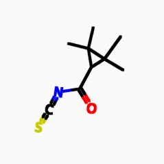 CC1(C)C(C(=O)N=C=S)C1(C)C